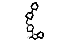 O=C1Cc2ccccc2N1C1CCN(Cc2ccc(-c3ccccc3)cc2)CC1